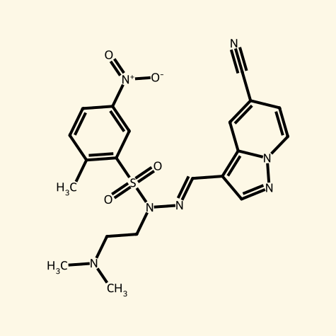 Cc1ccc([N+](=O)[O-])cc1S(=O)(=O)N(CCN(C)C)N=Cc1cnn2ccc(C#N)cc12